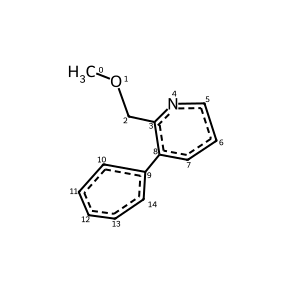 COCc1ncccc1-c1ccccc1